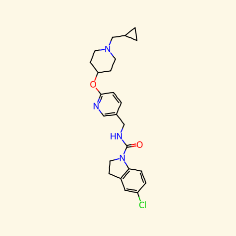 O=C(NCc1ccc(OC2CCN(CC3CC3)CC2)nc1)N1CCc2cc(Cl)ccc21